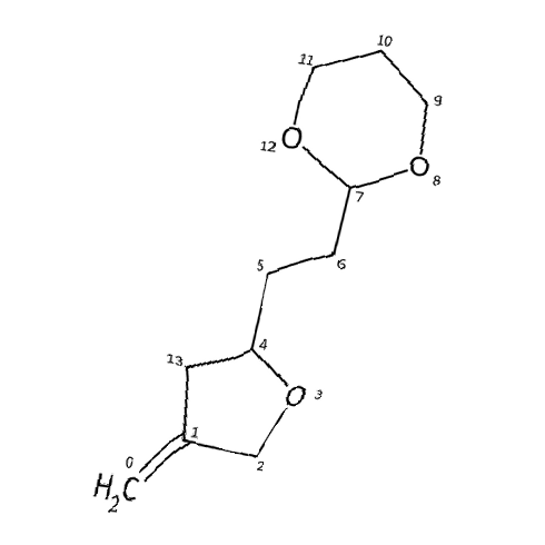 C=C1COC(CCC2OCCCO2)C1